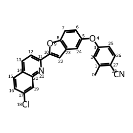 Cc1cc(Oc2ccc3oc(-c4ccc5ccc(Cl)cc5n4)cc3c2)ccc1C#N